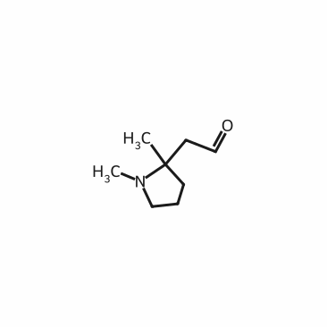 CN1CCCC1(C)CC=O